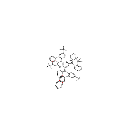 CC(C)(C)c1ccc2c(c1)B1c3ccc(-c4ccccc4)cc3N(c3ccc(C(C)(C)C)cc3-c3ccccc3)c3cc(N4c5ccccc5C(C)(C)C5(C)CCCCC45C)cc(c31)N2c1ccc(C(C)(C)C)cc1-c1ccccc1